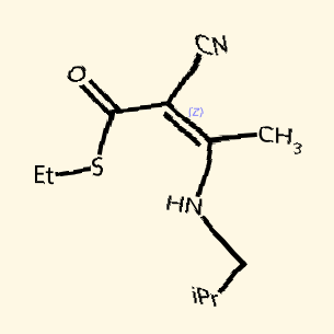 CCSC(=O)/C(C#N)=C(/C)NCC(C)C